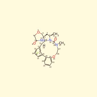 C[C@@H]1C[C@@]2(COCC(=O)N2)[C@@H]2Cc3cccc(c3F)-c3ccccc3OCCN(C)C(=O)N12